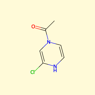 CC(=O)N1C=CNC(Cl)=C1